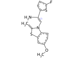 C=C1Sc2cc(OC)ccc2N1/C=C(\N)c1ccc(F)s1